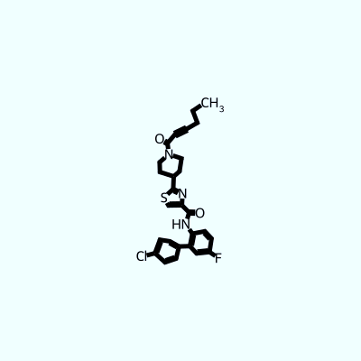 CCCC#CC(=O)N1CCC(c2nc(C(=O)Nc3ccc(F)cc3-c3ccc(Cl)cc3)cs2)CC1